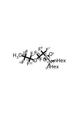 CCCCCCN(CCCCCC)S(=O)(=O)C(F)(F)C(F)(F)OC(F)(F)C(C)(F)F